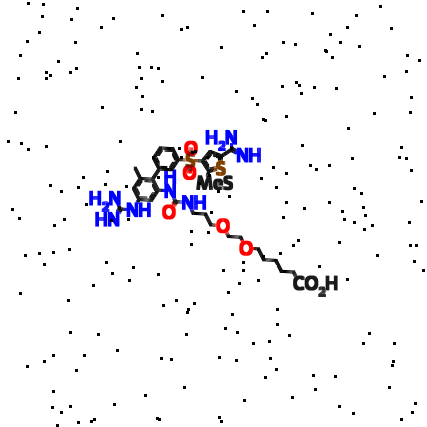 CSc1sc(C(=N)N)cc1S(=O)(=O)c1cccc(-c2c(C)cc(NC(=N)N)cc2NC(=O)NCCCOCCOCCCCCC(=O)O)c1